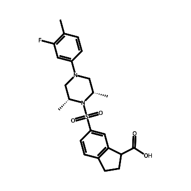 Cc1ccc(N2C[C@@H](C)N(S(=O)(=O)c3ccc4c(c3)C(C(=O)O)CC4)[C@@H](C)C2)cc1F